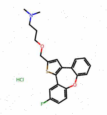 CN(C)CCCOCc1cc2c(s1)-c1cc(F)ccc1Oc1ccccc1-2.Cl